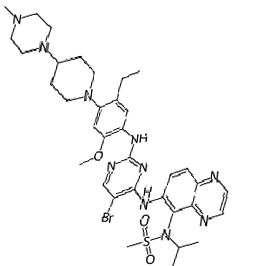 CCc1cc(Nc2ncc(Br)c(Nc3ccc4nccnc4c3N(C(C)C)S(C)(=O)=O)n2)c(OC)cc1N1CCC(N2CCN(C)CC2)CC1